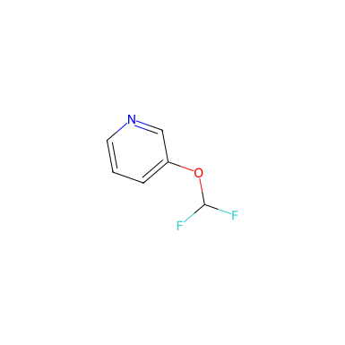 FC(F)Oc1cccnc1